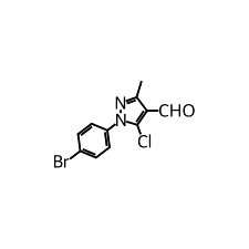 Cc1nn(-c2ccc(Br)cc2)c(Cl)c1C=O